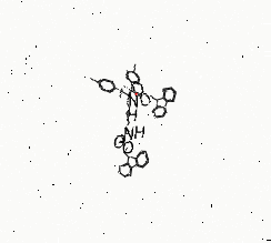 Cc1ccc(C(C)(C)C(CCCCCNC(=O)OCC2c3ccccc3-c3ccccc32)(NC(=O)OCC2c3ccccc3-c3ccccc32)C(C)(C)c2ccc(C)cc2)cc1